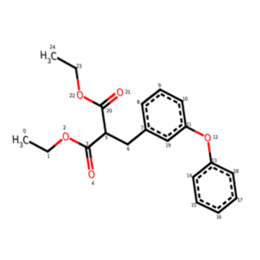 CCOC(=O)C(Cc1cccc(Oc2ccccc2)c1)C(=O)OCC